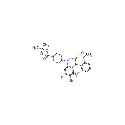 CCc1cccc(C)c1N1C(=C=O)C=C(N2CCN(C(=O)OC(C)(C)C)CC2)c2cc(F)c(Br)cc21